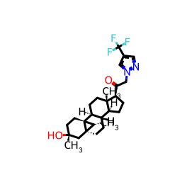 C[C@@H]1[C@]23CC[C@H]4[C@@H]5CC[C@H](C(=O)Cn6cc(C(F)(F)F)cn6)[C@@]5(C)CC[C@@H]4[C@]12CC[C@@](C)(O)C3